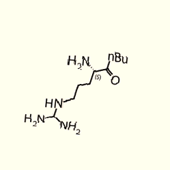 CCCCC(=O)[C@@H](N)CCCNC(N)N